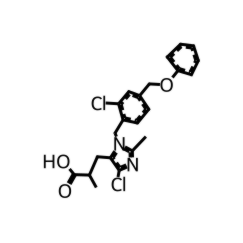 Cc1nc(Cl)c(CC(C)C(=O)O)n1Cc1ccc(COc2ccccc2)cc1Cl